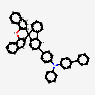 c1ccc(-c2ccc(N(c3ccccc3)c3ccc(-c4ccc5c(c4)-c4ccccc4C54c5ccc6ccccc6c5Oc5c4ccc4ccccc54)cc3)cc2)cc1